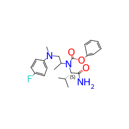 CC(C)[C@@H](C(N)=O)N(C(=O)Oc1ccccc1)C(C)CN(C)c1ccc(F)cc1